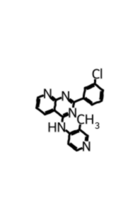 Cc1cnccc1Nc1nc(-c2cccc(Cl)c2)nc2ncccc12